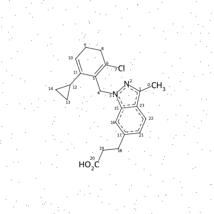 Cc1nn(CC2=C(Cl)CCC=C2C2CC2)c2cc(CCC(=O)O)ccc12